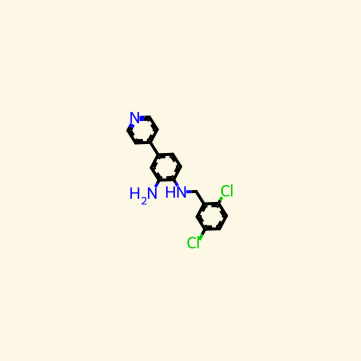 Nc1cc(-c2ccncc2)ccc1NCc1cc(Cl)ccc1Cl